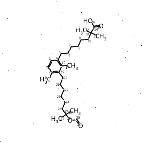 Cc1ccc(CCCCCCC(C)(C)C(=O)O)c(C)c1CCCCCCC(C)(C)OC=O